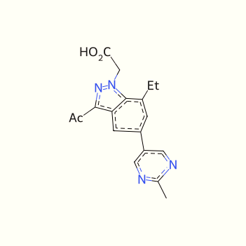 CCc1cc(-c2cnc(C)nc2)cc2c(C(C)=O)nn(CC(=O)O)c12